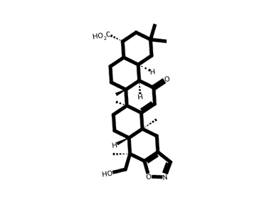 CC1(C)C[C@@H]2C(CC[C@]3(C)[C@@H]2C(=O)C=C2[C@@]4(C)Cc5cnoc5[C@@](C)(CO)[C@@H]4CC[C@]23C)[C@H](C(=O)O)C1